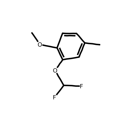 COc1ccc(C)cc1OC(F)F